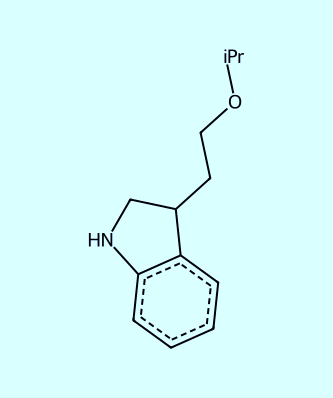 CC(C)OCCC1CNc2ccccc21